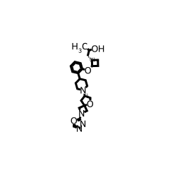 CC(O)C[C@@H]1CCC1Oc1ccccc1C1CCN([C@@H]2COC3(C2)CN(c2nnco2)C3)CC1